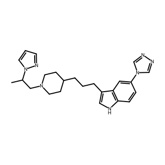 CC(CN1CCC(CCCc2c[nH]c3ccc(-n4cnnc4)cc23)CC1)n1cccn1